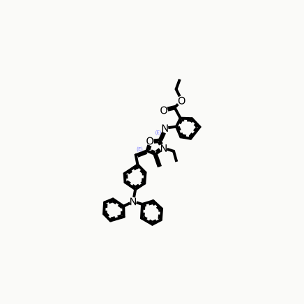 C=c1/c(=C\c2ccc(N(c3ccccc3)c3ccccc3)cc2)o/c(=N/c2ccccc2C(=O)OCC)n1CC